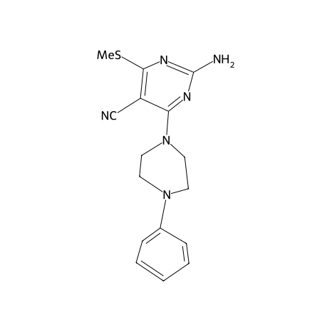 CSc1nc(N)nc(N2CCN(c3ccccc3)CC2)c1C#N